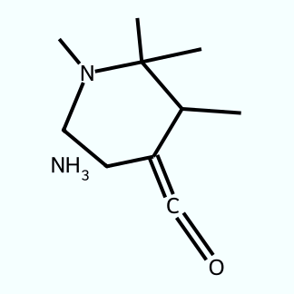 CC1C(=C=O)CCN(C)C1(C)C.N